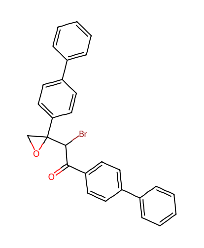 O=C(c1ccc(-c2ccccc2)cc1)C(Br)C1(c2ccc(-c3ccccc3)cc2)CO1